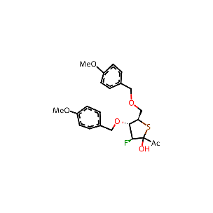 COc1ccc(COC[C@H]2SC(O)(C(C)=O)[C@@H](F)[C@@H]2OCc2ccc(OC)cc2)cc1